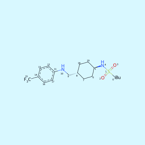 CCC(C)S(=O)(=O)N[C@H]1CC[C@H](CNc2ccc(C(F)(F)F)cc2)CC1